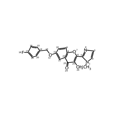 Cn1ccnc1-c1oc2ccc(OCc3ccc(F)cc3)cc2c(=O)c1O